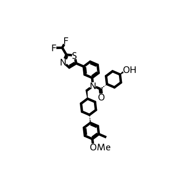 COc1ccc([C@H]2CC[C@H](CN(c3cccc(-c4cnc(C(F)F)s4)c3)C(=O)[C@H]3CC[C@H](O)CC3)CC2)cc1C